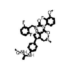 C=C(NOC)Nc1ccc(-c2cn3c(c2CN(C)C)c(=O)n(-c2cccc(OC)c2F)c(=O)n3Cc2c(F)cccc2F)cc1